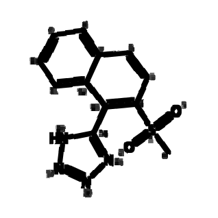 CS(=O)(=O)c1ccc2ccccc2c1-c1nnn[nH]1